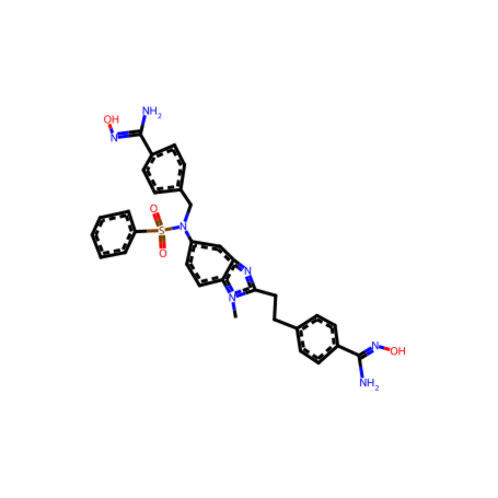 Cn1c(CCc2ccc(C(N)=NO)cc2)nc2cc(N(Cc3ccc(C(N)=NO)cc3)S(=O)(=O)c3ccccc3)ccc21